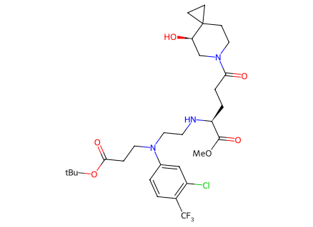 COC(=O)[C@H](CCC(=O)N1CCC2(CC2)[C@H](O)C1)NCCN(CCC(=O)OC(C)(C)C)c1ccc(C(F)(F)F)c(Cl)c1